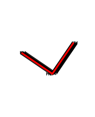 Cl.Cl.[KH].[KH].[KH].[KH].[KH].[KH].[KH].[KH].[KH].[KH].[KH].[KH].[KH].[KH].[KH].[KH].[KH].[KH].[KH].[KH].[KH].[KH].[KH].[KH].[KH].[KH].[KH].[KH].[KH].[KH].[KH].[KH].[KH].[KH].[KH].[KH].[KH].[KH].[KH].[KH].[KH].[KH].[KH].[KH].[KH].[KH].[KH].[KH].[KH].[KH].[KH].[KH].[KH].[KH].[KH].[KH].[KH].[KH].[KH].[KH].[KH].[KH].[KH].[KH].[KH].[KH].[KH].[KH].[KH].[KH].[KH].[KH].[KH].[KH].[KH].[KH].[KH].[KH].[KH].[KH].[KH].[KH].[KH].[KH].[KH].[KH].[KH].[KH].[KH].[KH].[KH].[KH].[KH].[KH].[KH].[KH].[KH].[KH].[KH].[KH].[KH].[KH].[KH].[KH].[KH].[KH].[KH].[KH].[KH].[KH].[KH].[KH].[KH].[KH].[KH].[KH].[KH].[KH].[KH].[KH].[KH].[KH].[KH].[KH].[KH].[KH].[KH].[KH].[KH].[KH].[KH].[KH].[KH].[KH].[KH].[KH].[KH].[KH].[KH].[KH].[KH]